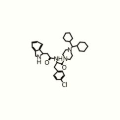 O=C(CC1NCc2ccccc21)NC(Cc1ccc(Cl)cc1)C(=O)N1CCN(C(C2CCCCC2)C2CCCCC2)CC1